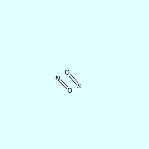 O=S.[N]=O